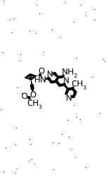 CC(=O)OC#C[C@@]12CC1[C@@H]2C(=O)Nc1cc2cc(-c3cnccc3C)nc(N)c2cn1